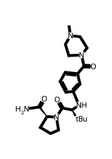 CN1CCN(C(=O)c2cccc(N[C@H](C(=O)N3CCC[C@H]3C(N)=O)C(C)(C)C)c2)CC1